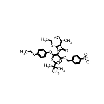 CCSc1ccc(OC(SC(=O)C(C)(C)C)=C(C(=O)OCc2ccc([N+](=O)[O-])cc2)N2C(=O)[C@H]([C@@H](C)O)[C@H]2SCC)cc1